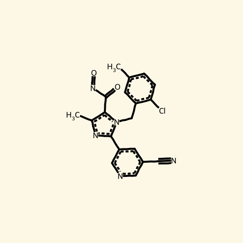 Cc1ccc(Cl)c(Cn2c(-c3cncc(C#N)c3)nc(C)c2C(=O)N=O)c1